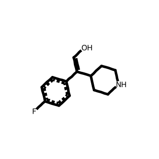 OC=C(c1ccc(F)cc1)C1CCNCC1